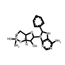 B[PH]1(O)OCC2OC(N3c4ncnc(N)c4NC3c3ccccc3)C(O)[C@@H]2O1